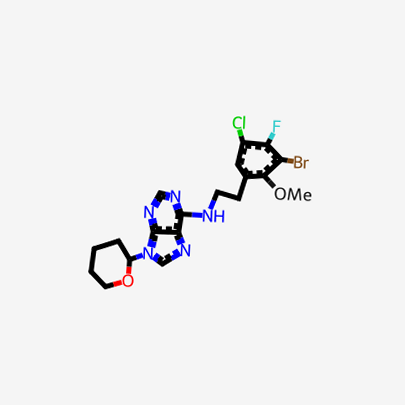 COc1c(CCNc2ncnc3c2ncn3C2CCCCO2)cc(Cl)c(F)c1Br